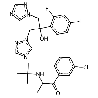 CC(NC(C)(C)C)C(=O)c1cccc(Cl)c1.OC(Cn1cncn1)(Cn1cncn1)c1ccc(F)cc1F